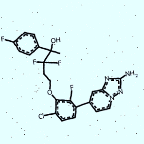 CC(O)(c1ccc(F)cc1)C(F)(F)CCOc1c(Cl)ccc(-c2ccn3nc(N)nc3c2)c1F